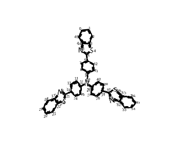 c1ccc2sc(-c3ccc(N(c4ccc(-c5nc6ccccc6s5)cc4)c4ccc(-c5nc6ccccc6s5)cc4)cc3)nc2c1